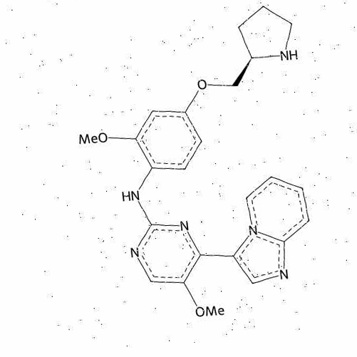 COc1cc(OC[C@H]2CCCN2)ccc1Nc1ncc(OC)c(-c2cnc3ccccn23)n1